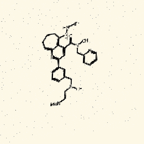 CNCCN(C)Cc1cccc(-c2cc(C(=O)N(C)Cc3ccccn3)c3c(n2)=CCCCC=3NNC(C)C)c1